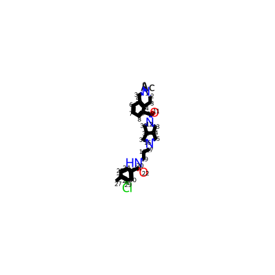 CC(=O)N1CCc2c(cccc2C(=O)N2CC3CN(CCCNC(=O)c4ccc(C)c(Cl)c4)CC3C2)C1